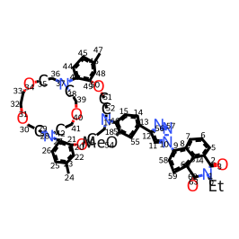 CCN1C(=O)c2cccc3c(-n4cc(-c5ccc(N6CCOc7cc(C)ccc7N7CCOCCOCCN(CCOCC7)c7ccc(C)cc7OCC6)c(OC)c5)nn4)ccc(c23)C1=O